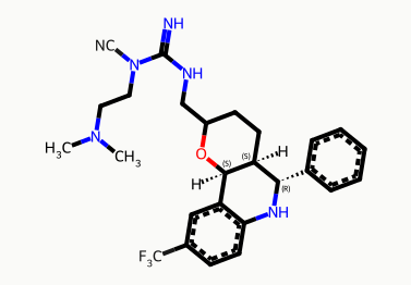 CN(C)CCN(C#N)C(=N)NCC1CC[C@@H]2[C@H](O1)c1cc(C(F)(F)F)ccc1N[C@H]2c1ccccc1